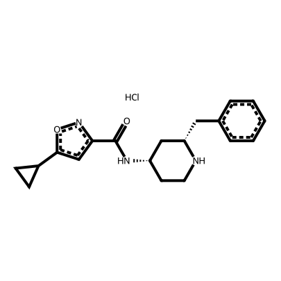 Cl.O=C(N[C@H]1CCN[C@@H](Cc2ccccc2)C1)c1cc(C2CC2)on1